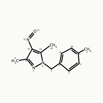 Cc1ccc(Cn2nc(C)c(N=O)c2C)cc1